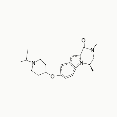 CC(C)N1CCC(Oc2ccc3c(c2)cc2n3[C@H](C)CN(C)C2=O)CC1